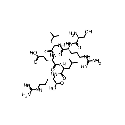 CC(C)C[C@H](NC(=O)[C@H](CCC(=O)O)NC(=O)[C@H](CC(C)C)NC(=O)[C@H](CCCNC(=N)N)NC(=O)[C@@H](N)CO)C(=O)N[C@@H](CCCNC(=N)N)C(=O)O